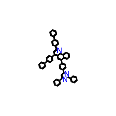 c1ccc(-c2ccc(-c3cc(-c4ccc(-c5ccccc5)cc4)c4cc(-c5ccc(-c6cc(-c7ccccc7)nc(-c7ccccc7)n6)cc5)c5ccccc5c4n3)cc2)cc1